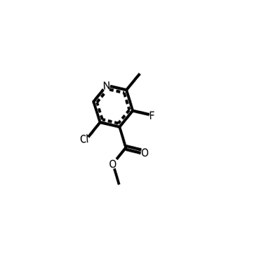 COC(=O)c1c(Cl)cnc(C)c1F